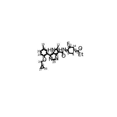 CCC(=O)N1CC[C@@H](NC(=O)c2c(C)[nH]c3c(-c4cc(C)ccc4OCC4CC4)ncnc23)[C@@H](F)C1